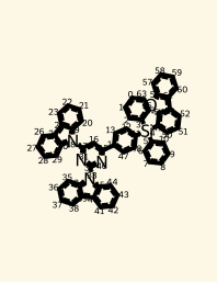 c1ccc([Si](c2ccccc2)(c2ccc(-c3cc(-n4c5ccccc5c5ccccc54)nc(-n4c5ccccc5c5ccccc54)n3)cc2)c2cccc3c2oc2ccccc23)cc1